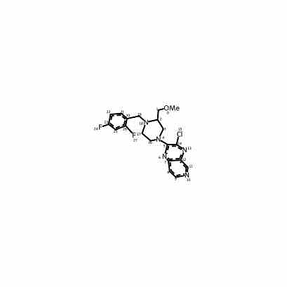 COCC1CN(c2nc3ccncc3nc2Cl)CCN1Cc1ccc(F)cc1F